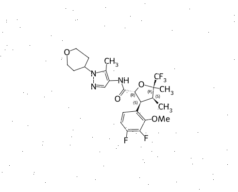 COc1c([C@H]2[C@H](C(=O)Nc3cnn(C4CCOCC4)c3C)O[C@@](C)(C(F)(F)F)[C@H]2C)ccc(F)c1F